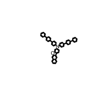 c1ccc(-c2ccc(-c3ccc(N(c4ccc(-c5ccc(-c6ccccc6)cc5)cc4)c4ccc5c(c4)oc4cc6ccccc6cc45)cc3)cc2)cc1